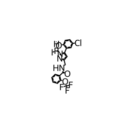 COc1ccc(Cl)cc1-c1cc(CNC(=O)c2ccccc2OC(F)(F)F)nn1PI